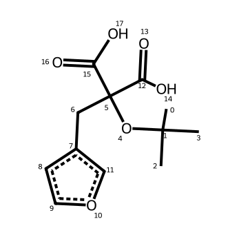 CC(C)(C)OC(Cc1ccoc1)(C(=O)O)C(=O)O